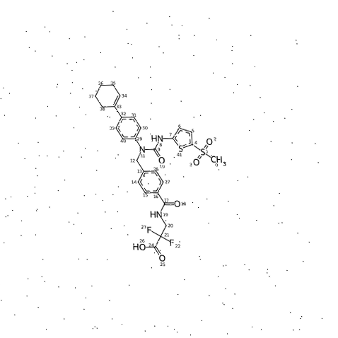 CS(=O)(=O)c1ccc(NC(=O)N(Cc2ccc(C(=O)NCC(F)(F)C(=O)O)cc2)c2ccc(C3=CCCCC3)cc2)s1